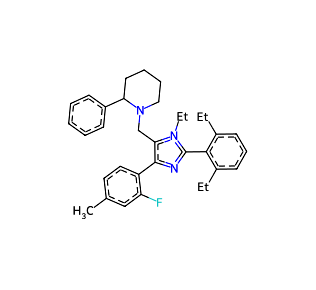 CCc1cccc(CC)c1-c1nc(-c2ccc(C)cc2F)c(CN2CCCCC2c2ccccc2)n1CC